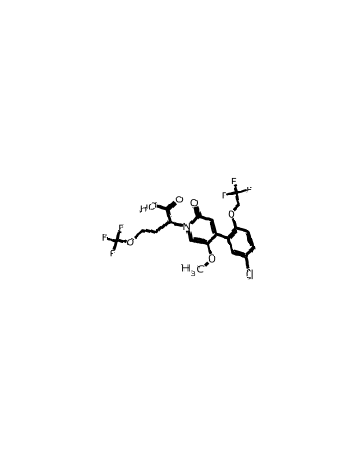 COc1cn(C(CCOC(F)(F)F)C(=O)O)c(=O)cc1-c1cc(Cl)ccc1OCC(F)(F)F